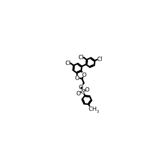 Cc1ccc(S(=O)(=O)OCC2Oc3cc(Cl)cc(-c4ccc(Cl)cc4Cl)c3O2)cc1